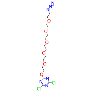 [N-]=[N+]=NCCOCCOCCOCCOCCOCCOc1nc(Cl)nc(Cl)n1